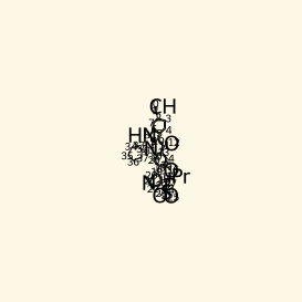 C#Cc1ccc2c(c1)[nH]c1c2c(=O)c2cc(OC(C)C)c(-c3cncc(S(=O)(=O)F)c3)cc2n1C1CCCCC1